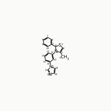 CC1=CSC(c2ccccc2)N1c1cccc(-n2ccnc2)c1